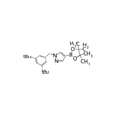 CC(C)(C)c1cc(Cn2cc(B3OC(C)(C)C(C)(C)O3)cn2)cc(C(C)(C)C)c1